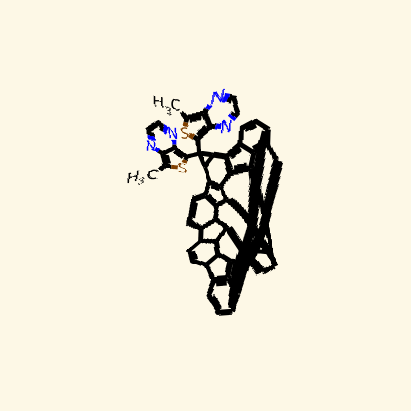 Cc1sc(C2(c3sc(C)c4nccnc34)C3c4c5c6c7c4c4c(c8ccc9c%10ccc%11c%12c%13c%14c(c7c7c%14c(c%12%10)c9c8c47)=C4C6C(C=C5)C5C=CC%11C%13C45)C32)c2nccnc12